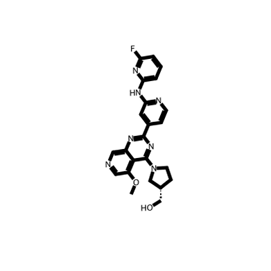 COc1cncc2nc(-c3ccnc(Nc4cccc(F)n4)c3)nc(N3CC[C@H](CO)C3)c12